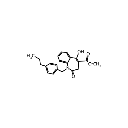 CCCc1ccc(CN2C(=O)CC(C(=O)OC)=C(O)c3ccccc32)cc1